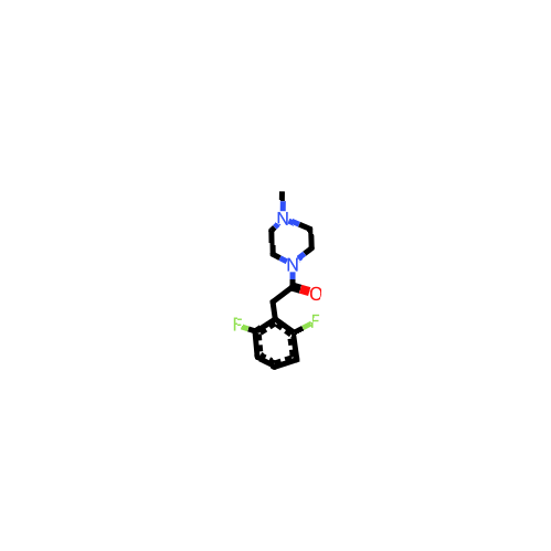 CN1CCN(C(=O)Cc2c(F)cccc2F)CC1